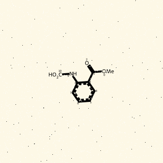 COC(=O)c1ccccc1NC(=O)O